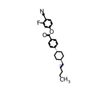 CCC/C=C/[C@H]1CC[C@H](c2ccc(C(=O)Oc3ccc(C#N)c(F)c3)cc2)CC1